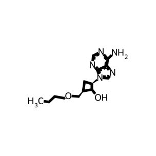 CCCCOC[C@H]1C[C@@H](n2cnc3c(N)ncnc32)C1O